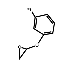 CCc1cccc(OC2CO2)c1